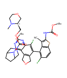 CN1CCOC[C@H]1COc1nc(N2C3CCC2CN(C(=O)OC(C)(C)C)C3)c2c3c(c(-c4c(F)ccc5sc(NC(=O)OC(C)(C)C)c(C#N)c45)c(F)c2n1)COC3